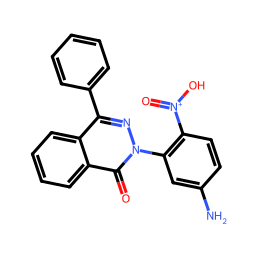 Nc1ccc([N+](=O)O)c(-n2nc(-c3ccccc3)c3ccccc3c2=O)c1